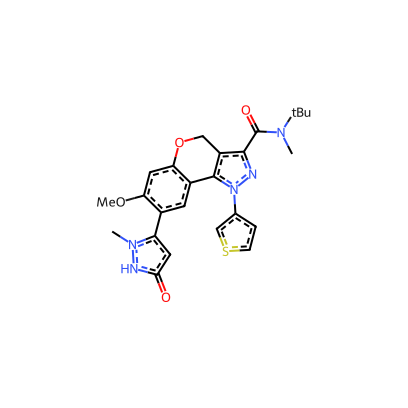 COc1cc2c(cc1-c1cc(=O)[nH]n1C)-c1c(c(C(=O)N(C)C(C)(C)C)nn1-c1ccsc1)CO2